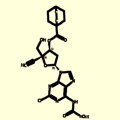 C#C[C@]1(CO)O[C@@H](n2cnc3c(NC(=O)CCCCCCCC)nc(Cl)nc32)C[C@@H]1OC(=O)C12CCC(CC1)CC2